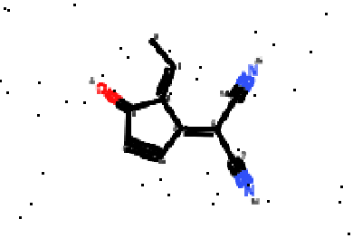 C/C=C1\C(=O)C#CC1=C(C#N)C#N